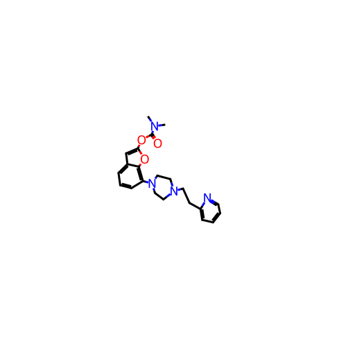 CN(C)C(=O)Oc1cc2cccc(N3CCN(CCc4ccccn4)CC3)c2o1